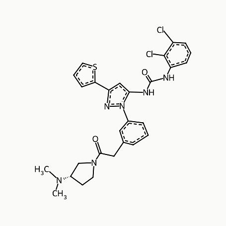 CN(C)[C@H]1CCN(C(=O)Cc2cccc(-n3nc(-c4cccs4)cc3NC(=O)Nc3cccc(Cl)c3Cl)c2)C1